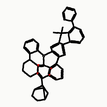 CC1(C)c2cc(N(c3ccc(C4CC5CCC4C5)cc3)c3ccccc3C3CCCCC3)c(-c3ccccc3)cc2-c2cccc(-c3ccccc3)c21